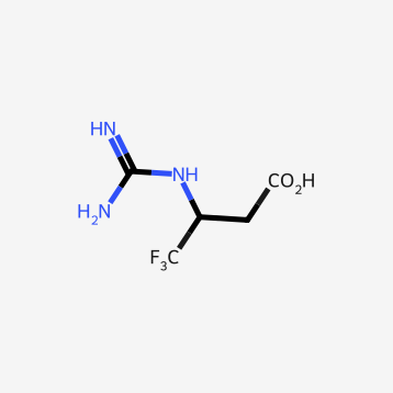 N=C(N)NC(CC(=O)O)C(F)(F)F